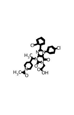 CC(=O)N1CCC(C(C)n2c(=O)n(CC(=O)O)c(=O)c3c2nc(-c2ccccc2Cl)n3-c2ccc(Cl)cc2)CC1